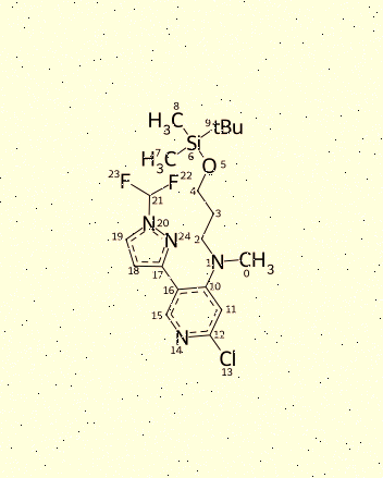 CN(CCCO[Si](C)(C)C(C)(C)C)c1cc(Cl)ncc1-c1ccn(C(F)F)n1